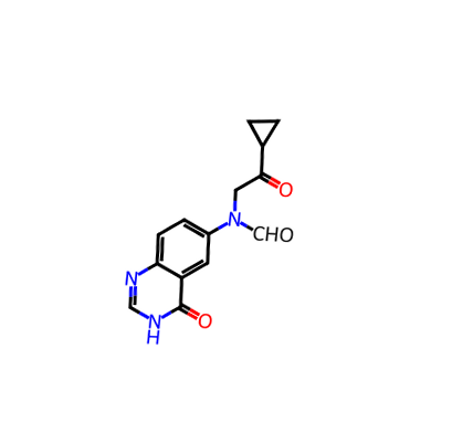 O=CN(CC(=O)C1CC1)c1ccc2nc[nH]c(=O)c2c1